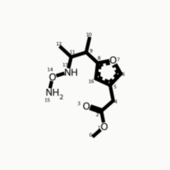 COC(=O)Cc1coc(C(C)C(C)NON)c1